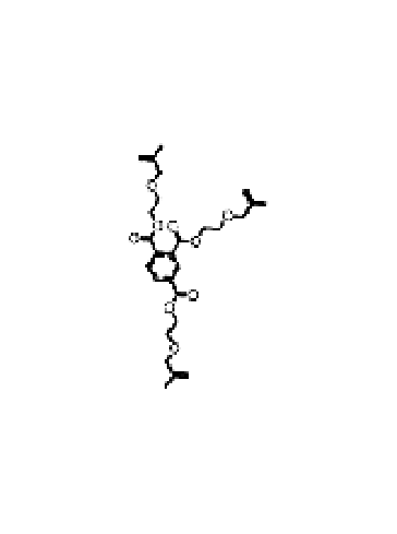 C=C(C)COCCOC(=O)c1ccc(C(=O)OCCOCC(=C)C)c(C(=O)OCCOCC(=C)C)c1